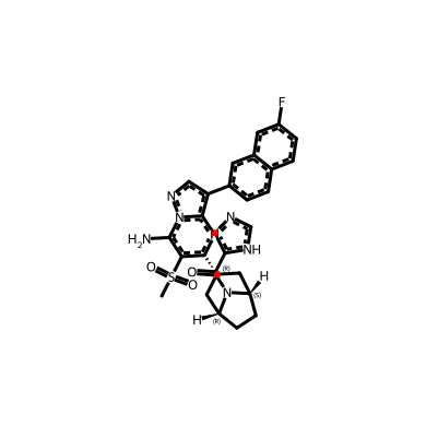 CS(=O)(=O)c1c([C@H]2C[C@H]3CC[C@@H](C2)N3C(=O)c2nnc[nH]2)nc2c(-c3ccc4ccc(F)cc4c3)cnn2c1N